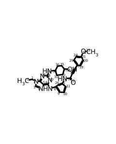 CCn1cnc2c(Nc3cccc(NC(=O)C#Cc4ccc(OC)cc4)c3)nc(NC3CCC(O)CC3)nc21